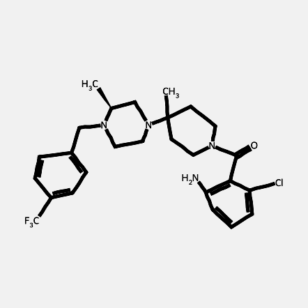 C[C@H]1CN(C2(C)CCN(C(=O)c3c(N)cccc3Cl)CC2)CCN1Cc1ccc(C(F)(F)F)cc1